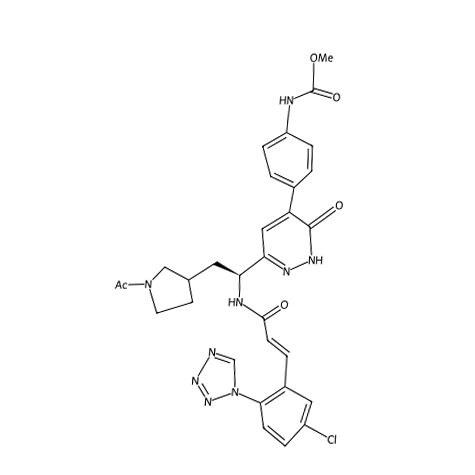 COC(=O)Nc1ccc(-c2cc([C@H](CC3CCN(C(C)=O)C3)NC(=O)C=Cc3cc(Cl)ccc3-n3cnnn3)n[nH]c2=O)cc1